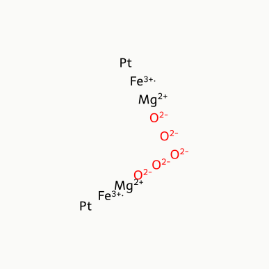 [Fe+3].[Fe+3].[Mg+2].[Mg+2].[O-2].[O-2].[O-2].[O-2].[O-2].[Pt].[Pt]